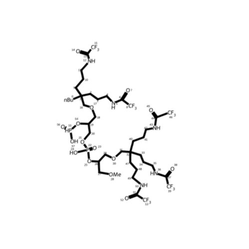 CCCCC(CCCNC(=O)C(F)(F)F)(CCCNC(=O)C(F)(F)F)COCC(COP(=O)(O)OC(COC)COCC(CCCNC(=O)C(F)(F)F)(CCCNC(=O)C(F)(F)F)CCCNC(=O)C(F)(F)F)O[PH](=O)O